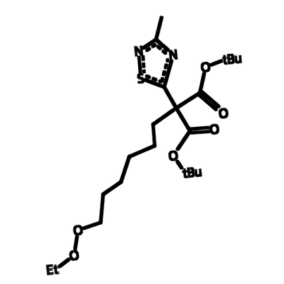 CCOOCCCCCCC(C(=O)OC(C)(C)C)(C(=O)OC(C)(C)C)c1nc(C)ns1